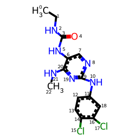 CCNC(=O)Nc1cnc(Nc2ccc(Cl)c(Cl)c2)nc1NC